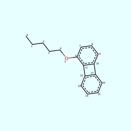 CCCCCOc1cccc2c1-c1ccccc1-2